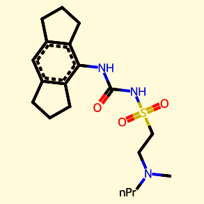 CCCN(C)CCS(=O)(=O)NC(=O)Nc1c2c(cc3c1CCC3)CCC2